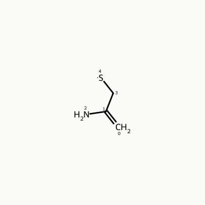 C=C(N)C[S]